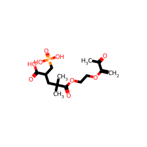 C=C(OCCOC(=O)C(C)(C)CC(CP(=O)(O)O)C(=O)O)C(C)=O